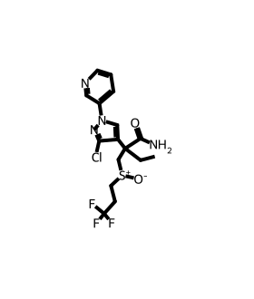 CCC(C[S+]([O-])CCC(F)(F)F)(C(N)=O)c1cn(-c2cccnc2)nc1Cl